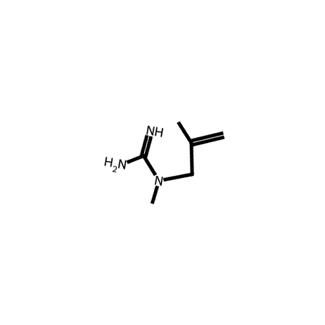 C=C(C)CN(C)C(=N)N